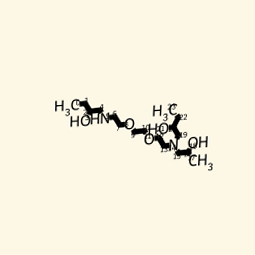 CCC(O)CNCCOCCOCCN(CC(C)O)CC(O)CC